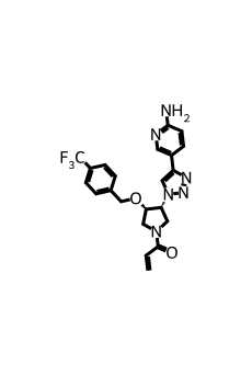 C=CC(=O)N1C[C@@H](n2cc(-c3ccc(N)nc3)nn2)[C@H](OCc2ccc(C(F)(F)F)cc2)C1